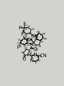 N#Cc1ccnc(N2C(=O)CC[C@H]2C(=O)N(c2cc(F)cc(F)c2)C2(C(=O)NC3CCC(F)(F)CC3)CCc3ccccc32)n1